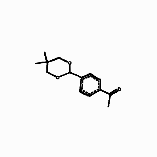 CC(=O)c1ccc(C2OCC(C)(C)CO2)cc1